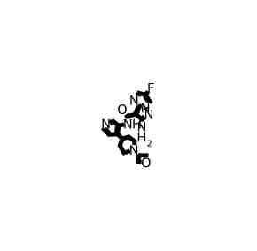 Nc1nn2cc(F)cnc2c1C(=O)Nc1cnccc1C1CCN(C2COC2)CC1